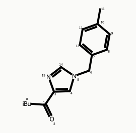 CCC(C)C(=O)c1cn(Cc2ccc(C)cc2)cn1